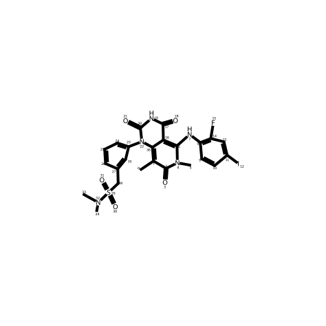 Cc1c(=O)n(C)c(Nc2ccc(I)cc2F)c2c(=O)[nH]c(=O)n(-c3cccc(CS(=O)(=O)N(C)C)c3)c12